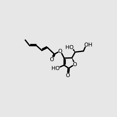 CC=CC=CC(=O)OC1=C(O)C(=O)O[C@@H]1[C@@H](O)CO